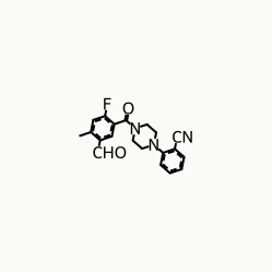 Cc1cc(F)c(C(=O)N2CCN(c3ccccc3C#N)CC2)cc1C=O